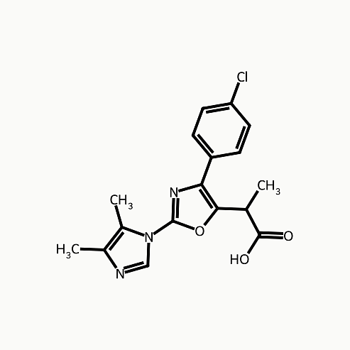 Cc1ncn(-c2nc(-c3ccc(Cl)cc3)c(C(C)C(=O)O)o2)c1C